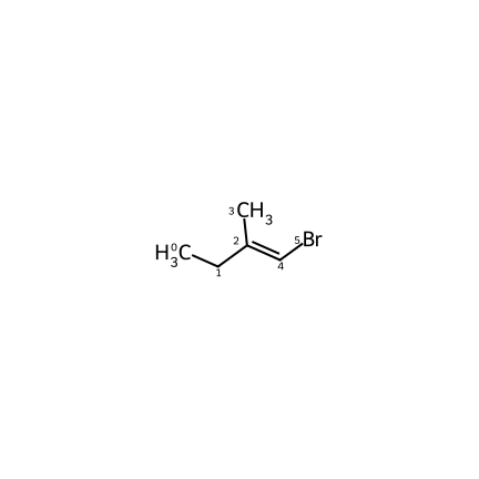 CC/C(C)=C/Br